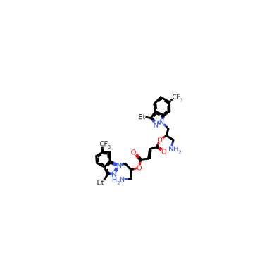 CCc1nn(CC(CN)OC(=O)/C=C/C(=O)OC(CN)Cn2nc(CC)c3ccc(C(F)(F)F)cc32)c2cc(C(F)(F)F)ccc12